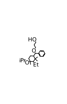 CCC1C(C)(OC(C)C)CCC(C(OCCCO)c2ccccc2)C1(C)C